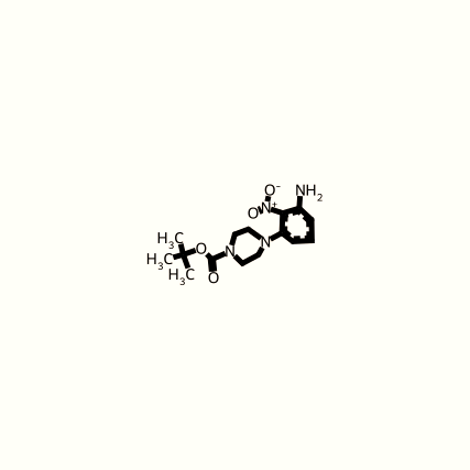 CC(C)(C)OC(=O)N1CCN(c2cccc(N)c2[N+](=O)[O-])CC1